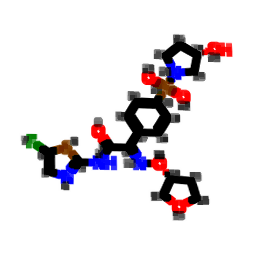 O=C(Nc1ncc(F)s1)/C(=N/O[C@@H]1CCOC1)c1ccc(S(=O)(=O)N2CC[C@H](O)C2)cc1